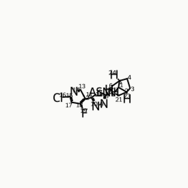 CC(=O)N[C@@H]1[C@@H]2CC[C@H]1CN(c1nnc(-c3cnc(Cl)cc3F)s1)C2